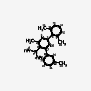 CCCN(CCC)c1c(C)nc(-c2c(C)cccc2C)nc1-c1cccc(C)c1